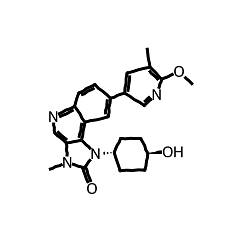 COc1ncc(-c2ccc3ncc4c(c3c2)n([C@H]2CC[C@H](O)CC2)c(=O)n4C)cc1C